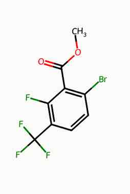 COC(=O)c1c(Br)ccc(C(F)(F)F)c1F